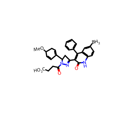 Bc1ccc2[nH]c(=O)c(C3=NN(C(=O)CCC(=O)O)C(C4=CCC(OC)C=C4)C3)c(-c3ccccc3)c2c1